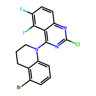 Fc1ccc2nc(Cl)nc(N3CCCc4c(Br)cccc43)c2c1F